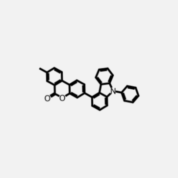 Cc1ccc2c(c1)c(=O)oc1cc(-c3cccc4c3c3ccccc3n4-c3ccccc3)ccc12